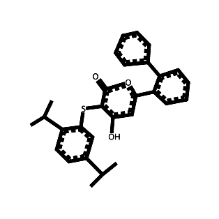 CC(C)c1ccc(C(C)C)c(Sc2c(O)cc(-c3ccccc3-c3ccccc3)oc2=O)c1